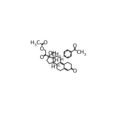 CC(=O)OCC(=O)[C@@]1(O)CC[C@H]2[C@@H]3CCC4=CC(=O)CCC4=C3[C@@H](c3ccc(C(C)=O)cc3)C[C@@]21C